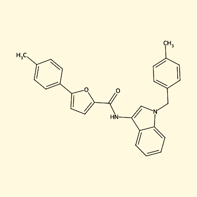 Cc1ccc(Cn2cc(NC(=O)c3ccc(-c4ccc(C)cc4)o3)c3ccccc32)cc1